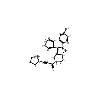 O=C(C#C[C@H]1CCCN1)N1CCn2nc(-c3ccc(F)cc3)c(-c3ccncc3)c2C1